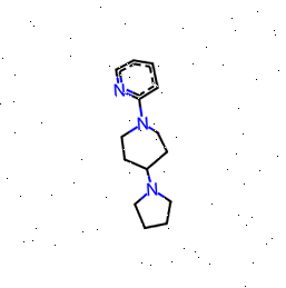 c1ccc(N2CCC(N3CCCC3)CC2)nc1